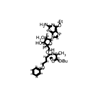 CCOc1nc(N)nc2c1ncn2[C@@H]1O[C@](F)(COP(=O)(CCCOc2ccccc2)N[C@@H](C)C(=O)OCC(C)C)[C@@H](O)[C@@]1(C)F